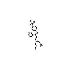 CCCCN(CCC(Oc1ccc(C(F)(F)F)cc1)c1ccsc1)CC1CC1